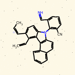 C=Cc1c(/C=C\C)ccc2c1c1c3ccccc3ccc1n2-c1c(C#N)cccc1C=N